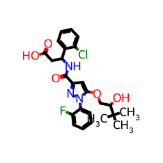 CC(C)(C)C(O)COc1cc(C(=O)NC(CC(=O)O)c2ccccc2Cl)nn1-c1ccccc1F